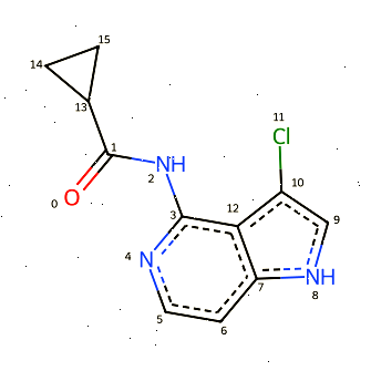 O=C(Nc1nccc2[nH]cc(Cl)c12)C1CC1